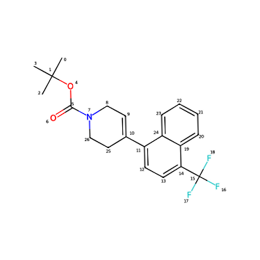 CC(C)(C)OC(=O)N1CC=C(c2ccc(C(F)(F)F)c3ccccc23)CC1